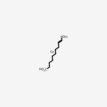 CCCCCCCCC=CCCCCCCCC(=O)O.[Ce]